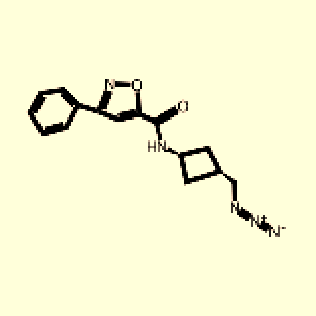 [N-]=[N+]=NC[C@H]1C[C@@H](NC(=O)c2cc(-c3ccccc3)no2)C1